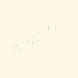 CCC(C)(C)OC(=O)n1cc2c(n1)CCC(N(C(=O)C1=CC=CC(c3ncccc3C)C=C1)C1CC1)C2